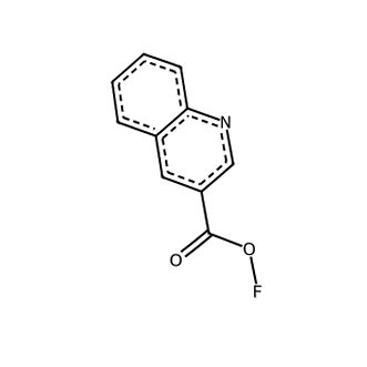 O=C(OF)c1cnc2ccccc2c1